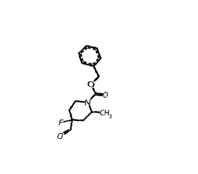 CC1CC(F)(C=O)CCN1C(=O)OCc1ccccc1